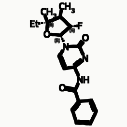 CC[C@@]1(C)O[C@@H](n2ccc(NC(=O)c3ccccc3)nc2=O)[C@@H](F)C1C